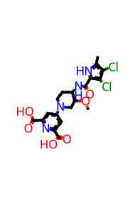 COC1CN(c2cc(C(=O)O)nc(C(=O)O)c2)CCC1NC(=O)c1[nH]c(C)c(Cl)c1Cl